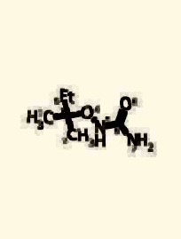 CCC(C)(C)ONC(N)=O